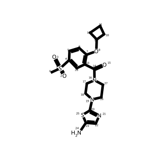 CS(=O)(=O)c1ccc(OC2CCC2)c(C(=O)N2CCN(c3ncc(N)s3)CC2)c1